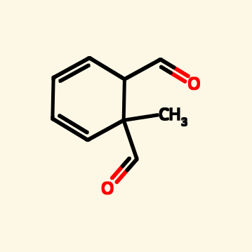 CC1(C=O)C=CC=CC1C=O